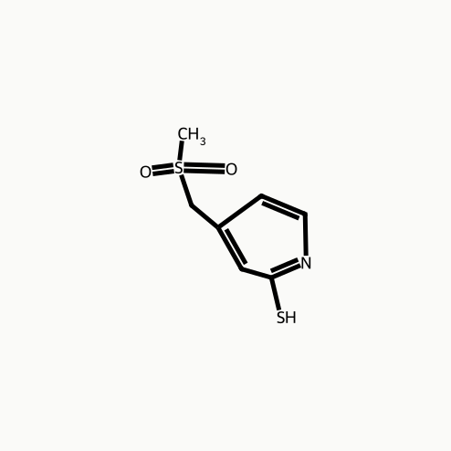 CS(=O)(=O)Cc1ccnc(S)c1